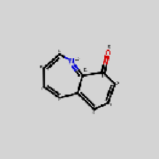 O=c1cccc2ccccnc1-2